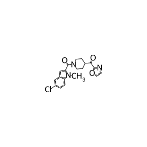 Cn1c(C(=O)N2CCC(C(=O)c3ncco3)CC2)cc2cc(Cl)ccc21